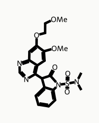 COCCOc1cc2ncnc(C3C(=O)N(S(=O)(=O)N(C)C)c4ccccc43)c2cc1OC